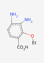 CCOc1c(C(=O)O)ccc(N)c1N